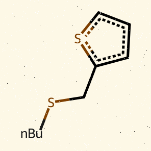 CCCCSCc1cccs1